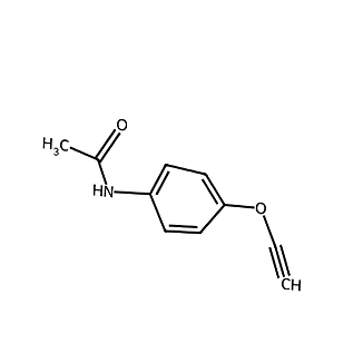 C#COc1ccc(NC(C)=O)cc1